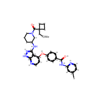 COCC1(C(=O)N2CCCC(Nc3n[nH]c4nccc(Oc5ccc(C(=O)Nc6cc(C)ccn6)cc5)c34)C2)CCC1